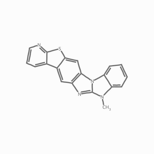 Cn1c2ccccc2n2c3cc4sc5ncccc5c4cc3nc12